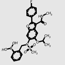 CNC(=O)c1c(-c2ccc(F)cc2)oc2cc(N(Cc3ccccc3B(O)O)S(C)(=O)=O)c(OC(C)C)cc12